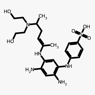 C/C(=C\CC(C)N(CCO)CCO)Nc1cc(Nc2ccc(S(=O)(=O)O)cc2)c(N)cc1N